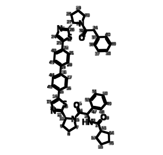 O=C(N[C@@H](C(=O)N1CCC[C@H]1c1ncc(-c2ccc(-c3ccc(-c4cnc([C@@H]5CCCN5C(=O)Cc5ccccc5)s4)cc3)cc2)s1)c1ccccc1)C1CCCC1